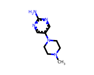 CN1CCN(c2cnc(N)nc2)CC1